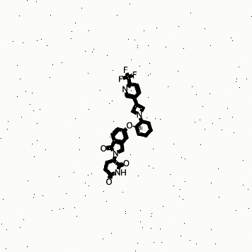 O=C1CCC(N2Cc3cc(O[C@H]4CCCCC4N4CC(c5ccc(C(F)(F)F)nc5)C4)ccc3C2=O)C(=O)N1